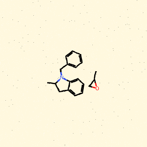 CC1CO1.CC1Cc2ccccc2N1Cc1ccccc1